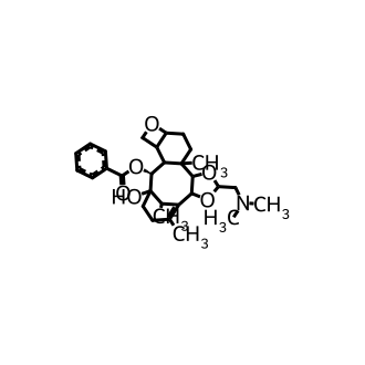 CC1=C2C3OC(CN(C)C)OC3C3(C)CCC4OCC4C3[C@H](OC(=O)c3ccccc3)C(O)(CC1)C2C